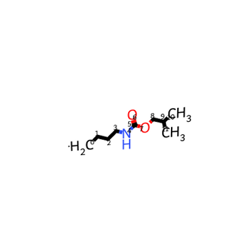 [CH2]CCCNC(=O)OCC(C)C